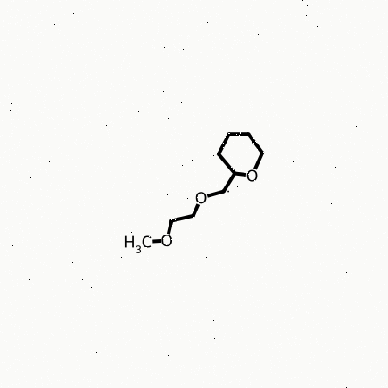 COCCO[CH]C1CCCCO1